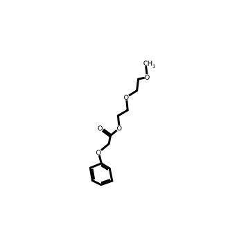 COCCOCCOC(=O)COc1ccccc1